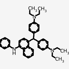 CCN(CC)c1ccc(C(c2ccc(N(CC)CC)cc2)c2ccc(Nc3ccccc3)c3ccccc23)cc1